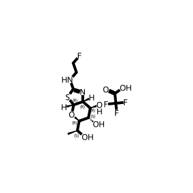 C[C@H](O)[C@H]1O[C@@H]2SC(NCCF)=N[C@@H]2[C@@H](O)[C@@H]1O.O=C(O)C(F)(F)F